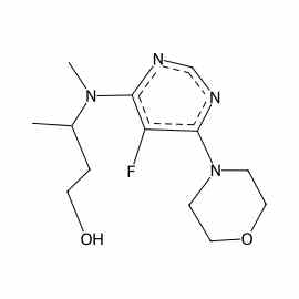 CC(CCO)N(C)c1ncnc(N2CCOCC2)c1F